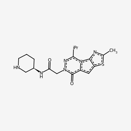 Cc1nc2c(cc3c(=O)n(CC(=O)N[C@@H]4CCCNC4)nc(C(C)C)n32)s1